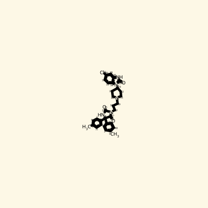 Cc1ccc(C2(c3ccc(C)cc3)NC(=O)N(CCCN3CCC(n4c(=O)[nH]c5cc(Cl)ccc54)CC3)C2=O)cc1